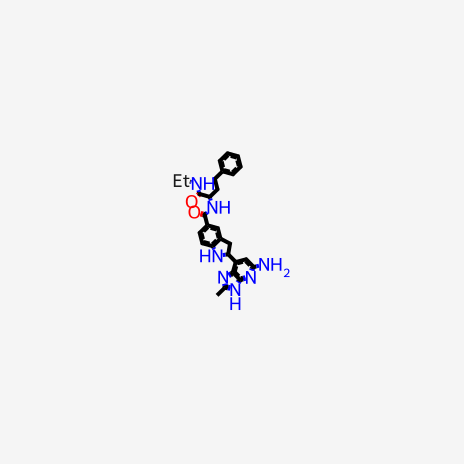 CCNC(=O)C(CCc1ccccc1)NC(=O)c1ccc2c(c1)CC(c1cc(N)nc3[nH]c(C)nc13)N2